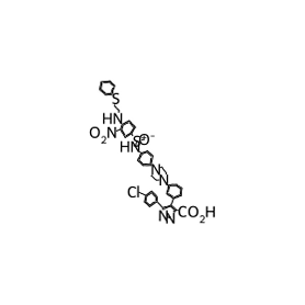 Cn1nc(C(=O)O)c(-c2cccc(N3CCN(c4ccc(N[S+]([O-])c5ccc(NCCSc6ccccc6)c([N+](=O)[O-])c5)cc4)CC3)c2)c1-c1ccc(Cl)cc1